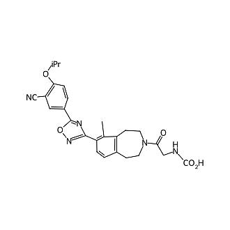 Cc1c(-c2noc(-c3ccc(OC(C)C)c(C#N)c3)n2)ccc2c1CCN(C(=O)CNC(=O)O)CC2